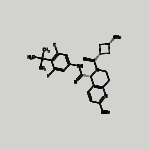 COc1ccc2c(n1)CCN(C(=O)[C@H]1C[C@@H](OC(C)=O)C1)[C@H]2C(=O)Nc1cc(F)c([Si](C)(C)C)c(F)c1